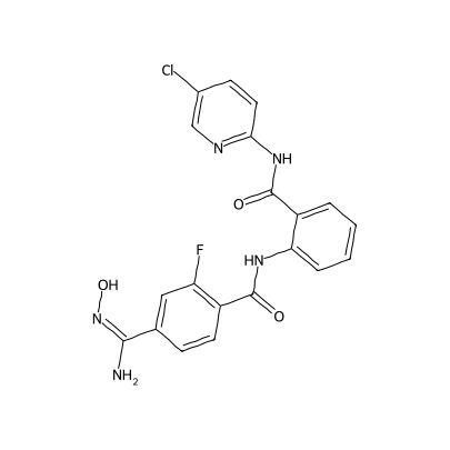 N/C(=N/O)c1ccc(C(=O)Nc2ccccc2C(=O)Nc2ccc(Cl)cn2)c(F)c1